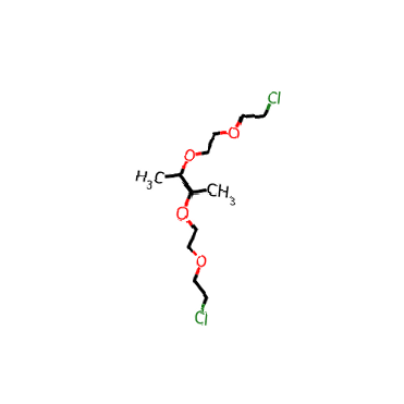 CC(OCCOCCCl)C(C)OCCOCCCl